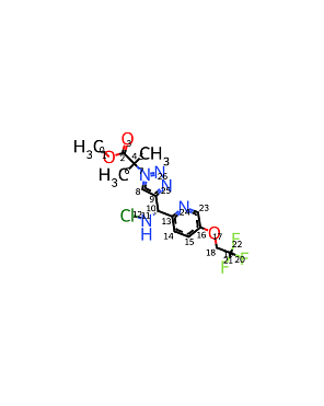 COC(=O)C(C)(C)n1cc([C@@H](NCl)c2ccc(OCC(F)(F)F)cn2)nn1